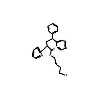 O=C(OCCCCO)C(CC(c1ccccc1)c1ccccc1)c1ccccn1